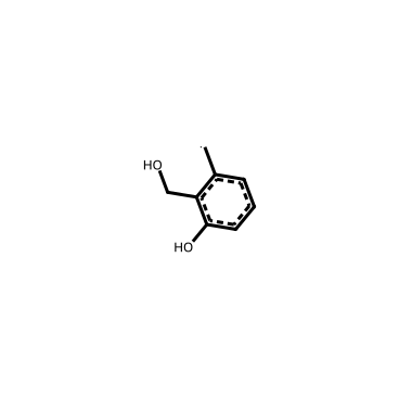 [CH2]c1cccc(O)c1CO